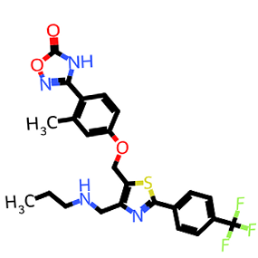 CCCNCc1nc(-c2ccc(C(F)(F)F)cc2)sc1COc1ccc(-c2noc(=O)[nH]2)c(C)c1